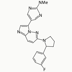 CNc1ncc(-c2cnc3ccc(N4CCCC4c4cccc(F)c4)nn23)cn1